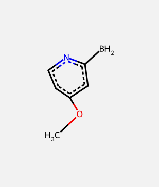 Bc1cc(OC)ccn1